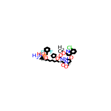 CCOc1cc(OC2C[C@@H](C=O)N(C(=O)[C@H](CCCCCCC[C@@H]3C[C@]3(N)P(=O)(O)Cc3c(F)cccc3F)NC(=O)OC3CCCC3)C2)c2cccc(Cl)c2n1